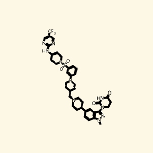 Cn1nc(N2CCC(=O)NC2=O)c2cc(C3CCN(CC4CCN(c5cccc(S(=O)(=O)N6CCC(Nc7ncc(C(F)(F)F)cn7)CC6)c5)CC4)CC3)ccc21